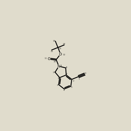 C#Cc1cccc2c1CN(C(=O)OC(C)(C)C)C2